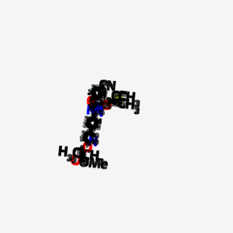 COC(=O)C(C)(C)COc1ccc(-c2ccc(-c3nc(Oc4ccc(C#N)cc4)n(COCCS(C)(C)C)n3)cc2)cn1